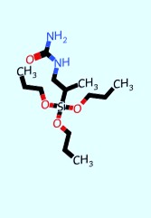 CCCO[Si](OCCC)(OCCC)C(C)CNC(N)=O